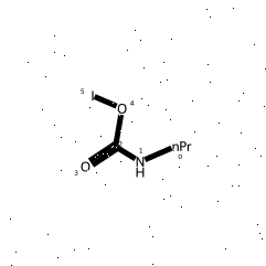 CCCNC(=O)OI